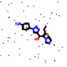 CCc1sc2cncn2c1C(O)c1cn(-c2ccc(N)cc2)nn1